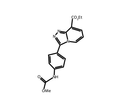 CCOC(=O)c1cccn2c(-c3ccc(NC(=O)OC)cc3)nnc12